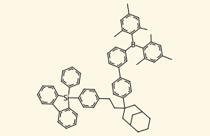 Cc1cc(C)c(B(c2cccc(-c3ccc(C4(CCc5ccc([Si]6(c7ccccc7)c7ccccc7-c7ccccc76)cc5)CC5CCCC(C5)C4)cc3)c2)c2c(C)cc(C)cc2C)c(C)c1